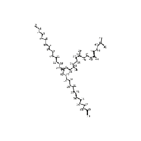 CCCCCCCCCCCCCCCN(CCCCCCCCCCCCCCC)CCC(C)CCCC(C)CCCC(C)CCCC(C)C